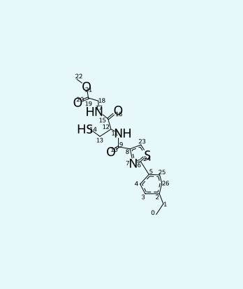 CCc1ccc(-c2nc(C(=O)NC(CS)C(=O)NCC(=O)OC)cs2)cc1